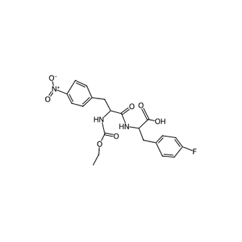 CCOC(=O)NC(Cc1ccc([N+](=O)[O-])cc1)C(=O)NC(Cc1ccc(F)cc1)C(=O)O